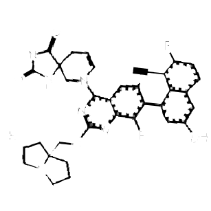 C#Cc1c(F)ccc2cc(O)cc(-c3c(F)cc4c(N5C=CCC6(C5)NC(=O)NC6=O)nc(OC[C@@]56CCCN5C[C@H](F)C6)nc4c3F)c12